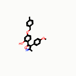 COc1ccc(-c2c(C)noc2-c2ccc(OCc3ccc(C)cc3)cc2O)cc1